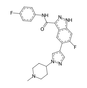 CN1CCC(n2cc(-c3cc4c(C(=O)Nc5ccc(F)cc5)n[nH]c4cc3F)cn2)CC1